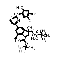 Cc1cc(Br)c(Cl)cc1Nc1nccc(-c2cc(C#N)c3c(c2)C(C)(CO[Si](C)(C)C(C)(C)C)CN3C(=O)OC(C)(C)C)n1